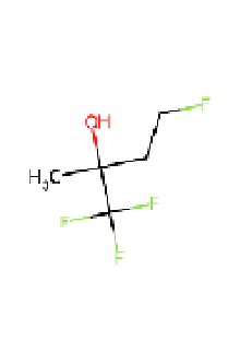 CC(O)(CCF)C(F)(F)F